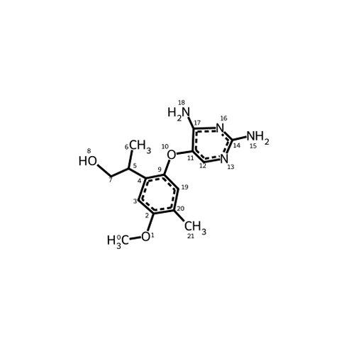 COc1cc(C(C)CO)c(Oc2cnc(N)nc2N)cc1C